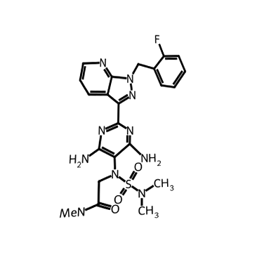 CNC(=O)CN(c1c(N)nc(-c2nn(Cc3ccccc3F)c3ncccc23)nc1N)S(=O)(=O)N(C)C